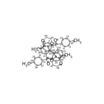 Cc1ccc(P(=O)(c2ccc(C)cc2)c2ccc3c(c2-c2c(P(=O)(c4ccc(C)cc4)c4ccc(C)cc4)ccc4c2OCCO4)OCCO3)cc1